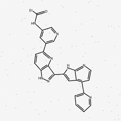 CCC(=O)Nc1cncc(-c2ccc3[nH]nc(-c4cc5c(-c6ccccn6)ccnc5[nH]4)c3n2)c1